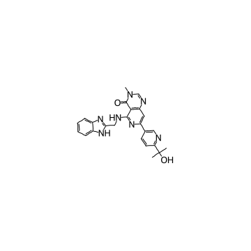 Cn1cnc2cc(-c3ccc(C(C)(C)O)nc3)nc(NCc3nc4ccccc4[nH]3)c2c1=O